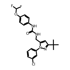 CC(C)(C)c1cc(CNC(=O)Nc2ccc(OC(F)F)cc2)n(-c2cccc(Cl)c2)n1